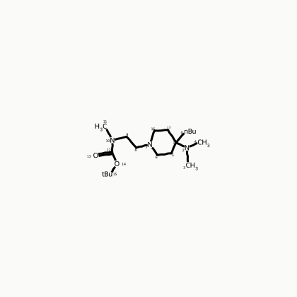 CCCCC1(N(C)C)CCN(CCN(C)C(=O)OC(C)(C)C)CC1